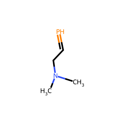 CN(C)CC=P